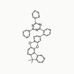 CC1(C)c2ccccc2-c2c1ccc1c2Oc2cc(-c3ccccc3-c3nc(-c4ccccc4)nc(-c4ccccc4)n3)ccc2O1